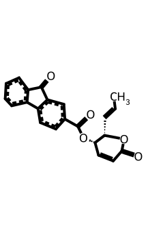 C/C=C/[C@@H]1OC(=O)C=C[C@@H]1OC(=O)c1ccc2c(c1)C(=O)c1ccccc1-2